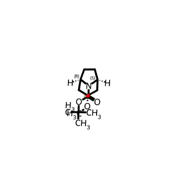 CO[C@@H]1C[C@H]2CC[C@@H](C1)N2C(=O)OC(C)(C)C